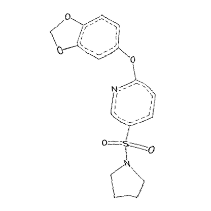 O=S(=O)(c1ccc(Oc2ccc3c(c2)OCO3)nc1)N1CCCC1